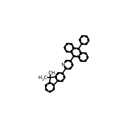 CC1(C)c2ccccc2-c2ccc(-c3ccc(-c4c5ccccc5c(-c5ccccc5)c5ccccc45)cn3)cc21